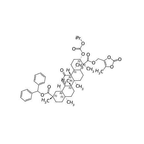 Cc1oc(=O)oc1COC(=O)[C@@]1(C)C2CC[C@]3(C)[C@H](C(=O)C=C4[C@@H]5C[C@@](C)(C(=O)OC(c6ccccc6)c6ccccc6)CC[C@]5(C)CC[C@]43C)[C@@]2(C)CC[C@@H]1OC(=O)OC(C)C